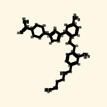 COCCNCc1ccc(COc2ccc(N)cc2-c2csc(N3CCC(C(=O)O)CC3)n2)c(C)c1